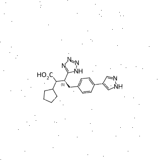 O=C(O)C(C1CCCC1)[C@H](Cc1ccc(-c2cn[nH]c2)cc1)c1nnn[nH]1